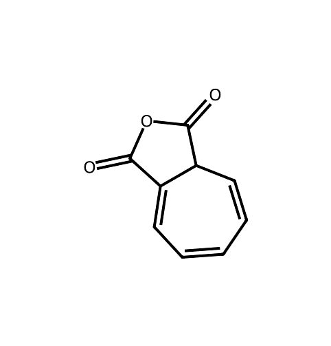 O=C1OC(=O)C2C=CC=CC=C12